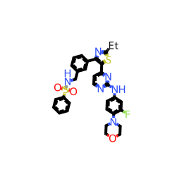 CCc1nc(-c2cccc(CNS(=O)(=O)c3ccccc3)c2)c(-c2ccnc(Nc3ccc(N4CCOCC4)c(F)c3)n2)s1